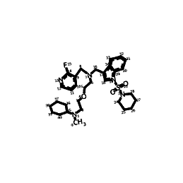 CN(CCOCCN(Cc1cccnc1F)Cc1cn(S(=O)(=O)N2CCCCC2)c2ccccc12)C1CCCCC1